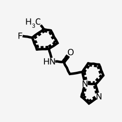 Cc1ccc(NC(=O)Cc2cccc3nccn23)cc1F